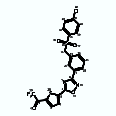 O=C(c1ccc(-c2nc(-c3cccc(CS(=O)(=O)c4ccc(Cl)cc4)c3)no2)s1)C(F)(F)F